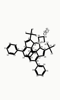 CC(C)(C)C1=Cc2c(-c3ccccc3)cccc2[CH]1[Zr+2]1([CH]2C(C(C)(C)C)=Cc3c(-c4ccccc4)cccc32)[CH2]C[CH2]1.[Cl-].[Cl-]